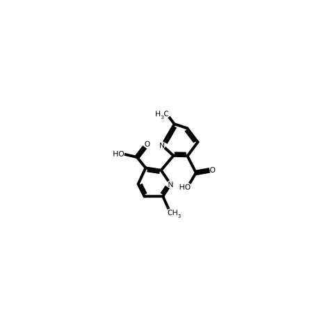 Cc1ccc(C(=O)O)c(-c2nc(C)ccc2C(=O)O)n1